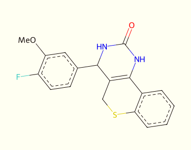 COc1cc(C2NC(=O)NC3=C2CSc2ccccc23)ccc1F